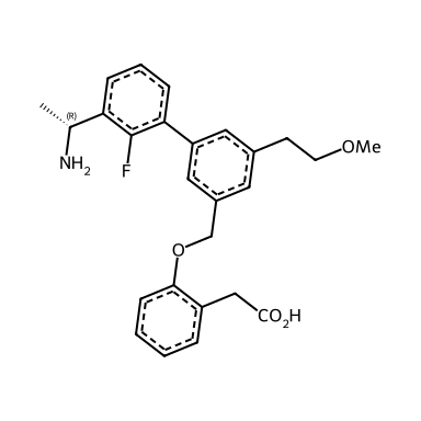 COCCc1cc(COc2ccccc2CC(=O)O)cc(-c2cccc([C@@H](C)N)c2F)c1